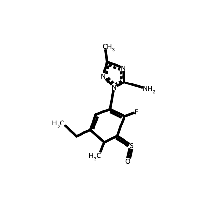 CCC1=CC(n2nc(C)nc2N)=C(F)C(=S=O)C1C